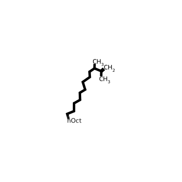 C=C(C)C(C)CCCCCCCCCCCCCCCCC